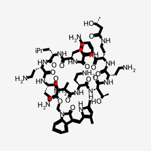 Cc1cc(C)c(/C=C2\C(=O)N(COC(=O)C(C)C(C)C(=O)N[C@@H](CCN)C(=O)N[C@H](C(=O)N[C@@H](CCN)C(=O)N[C@@H](CCNC(=O)C[C@@H](C)O)C(=O)N[C@@H](CCN)C(=O)N[C@H](Cc3ccccc3)C(=O)N[C@@H](CC(C)C)C(=O)N[C@@H](CCN)C(=O)N[C@@H](CCN)C(N)=O)[C@@H](C)O)c3ccccc32)[nH]1